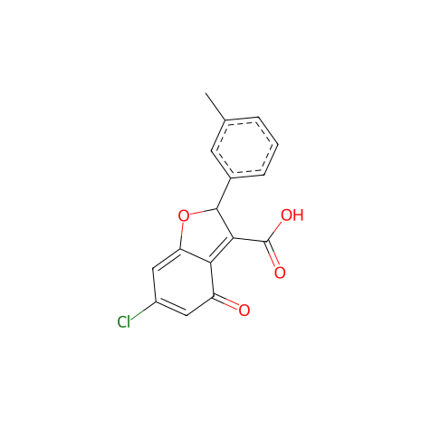 Cc1cccc(C2OC3=CC(Cl)=CC(=O)C3=C2C(=O)O)c1